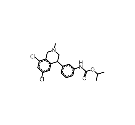 CC(C)OC(=O)Nc1cccc(C2CN(C)Cc3c(Cl)cc(Cl)cc32)c1